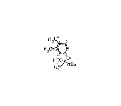 Cc1ccc(OC(C)(C)C(C)(C)C)cc1C(F)(F)F